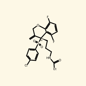 C=C1COc2c(F)ccc(F)c2[C@]1(CCCNC(=O)CC)S(=O)(=O)c1ccc(Cl)cc1